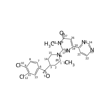 C[C@@H]1CC(C(=O)c2ccc(Cl)c(Cl)c2)CCN1c1nc(-c2ccncn2)cc(=O)n1C